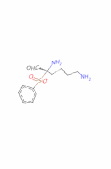 NCCCC[C@](N)([C]=O)S(=O)(=O)c1ccccc1